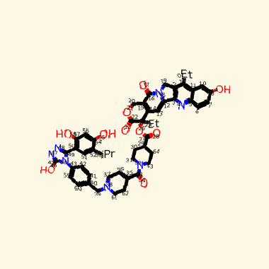 CCc1c2c(nc3ccc(O)cc13)-c1cc3c(c(=O)n1C2)COC(=O)C3(CC)OC(=O)C1CCN(C(=O)C2CCN(Cc3ccc(-n4c(O)nnc4-c4cc(C(C)C)c(O)cc4O)cc3)CC2)CC1